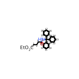 CCOC(=O)CCCC(=O)NC(c1ccccc1)(c1ccccc1)c1ccccc1